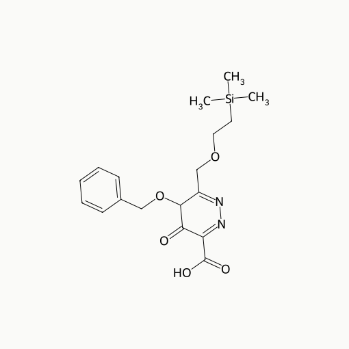 C[Si](C)(C)CCOCC1=NN=C(C(=O)O)C(=O)C1OCc1ccccc1